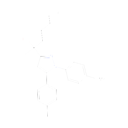 CCOC(=O)CCCC(C)(O)c1cc(-c2ccc(C)cc2)n(-c2ccc(OC)cc2)n1